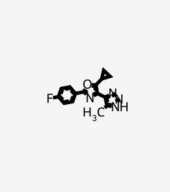 Cc1[nH]nnc1-c1nc(-c2ccc(F)cc2)oc1C1CC1